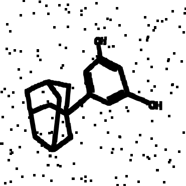 Oc1cc(O)cc(C23CC4CC(CC(C4)C2)C3)c1